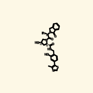 Cc1ncsc1-c1ccc(CNC(=O)[C@@H]2C[C@@H](O)CN2C(=O)[C@@H](C(C)C)N2Cc3ccccc3C2=O)c(O)c1